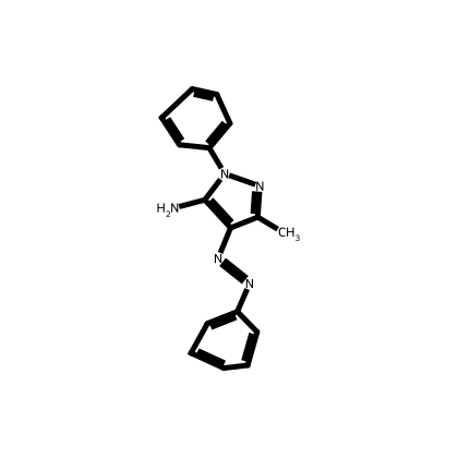 Cc1nn(-c2ccccc2)c(N)c1/N=N/c1ccccc1